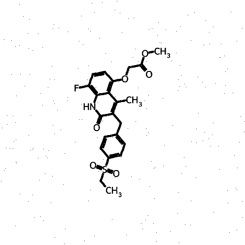 CCS(=O)(=O)c1ccc(Cc2c(C)c3c(OCC(=O)OC)ccc(F)c3[nH]c2=O)cc1